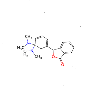 CN(C)C1(N(C)C)C=CC=C(C2OC(=O)c3ccccc32)C1